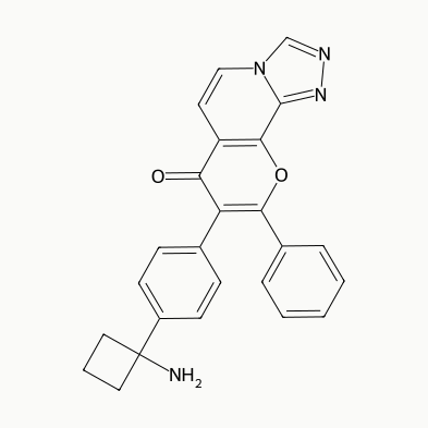 NC1(c2ccc(-c3c(-c4ccccc4)oc4c(ccn5cnnc45)c3=O)cc2)CCC1